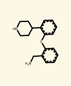 NCc1ccccc1Sc1ccccc1C1CCNCC1